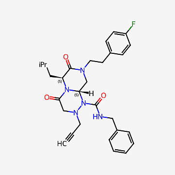 C#CCN1CC(=O)N2[C@@H](CC(C)C)C(=O)N(CCc3ccc(F)cc3)C[C@@H]2N1C(=O)NCc1ccccc1